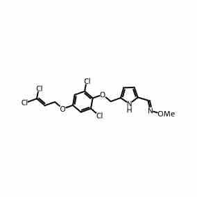 CON=Cc1ccc(COc2c(Cl)cc(OCC=C(Cl)Cl)cc2Cl)[nH]1